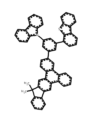 CC1(C)c2ccccc2-c2cc3c4ccccc4c4cc(-c5cc(-c6cccc7c6sc6ccccc67)cc(-n6c7ccccc7c7ccccc76)c5)ccc4c3cc21